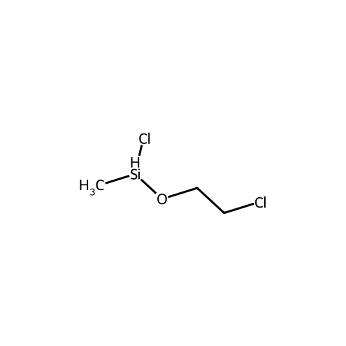 C[SiH](Cl)OCCCl